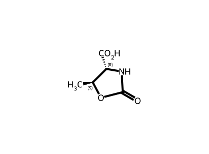 C[C@@H]1OC(=O)N[C@H]1C(=O)O